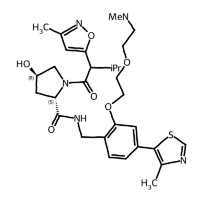 CNCCOCCOc1cc(-c2scnc2C)ccc1CNC(=O)[C@@H]1C[C@@H](O)CN1C(=O)C(c1cc(C)no1)C(C)C